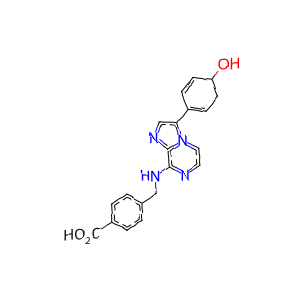 O=C(O)c1ccc(CNc2nccn3c(C4=CCC(O)C=C4)cnc23)cc1